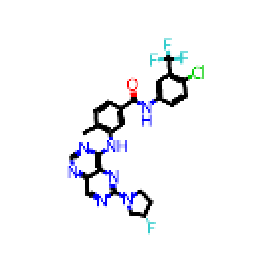 Cc1ccc(C(=O)Nc2ccc(Cl)c(C(F)(F)F)c2)cc1Nc1ncnc2cnc(N3CC[C@H](F)C3)nc12